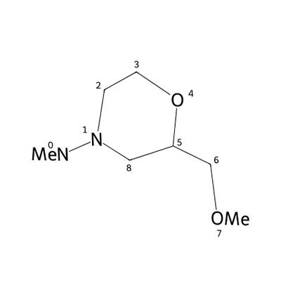 CNN1CCOC(COC)C1